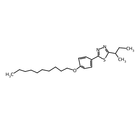 CCCCCCCCCCOc1ccc(-c2nnc(C(C)CC)s2)cc1